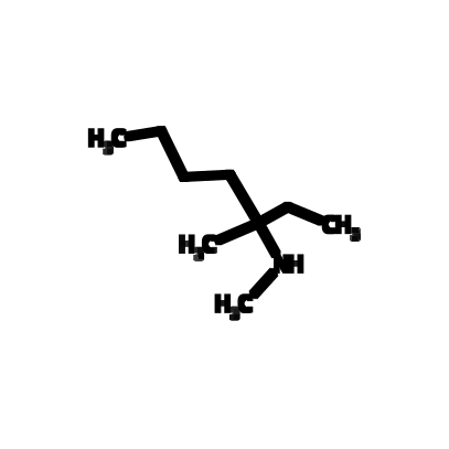 CCCCC(C)(CC)NC